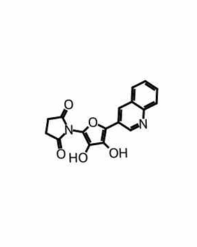 O=C1CCC(=O)N1c1oc(-c2cnc3ccccc3c2)c(O)c1O